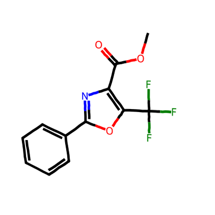 COC(=O)c1nc(-c2ccccc2)oc1C(F)(F)F